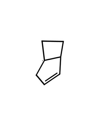 C1=CC2CC[C]2C1